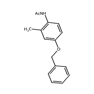 CC(=O)Nc1ccc(OCc2ccccc2)cc1C